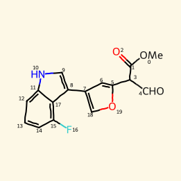 COC(=O)C(C=O)c1cc(-c2c[nH]c3cccc(F)c23)co1